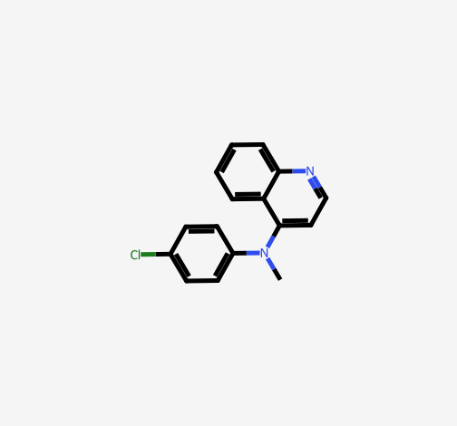 CN(c1ccc(Cl)cc1)c1ccnc2ccccc12